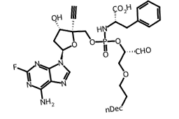 C#C[C@]1(COP(=O)(N[C@@H](Cc2ccccc2)C(=O)O)O[C@H](C=O)COCCCCCCCCCCCC)O[C@@H](n2cnc3c(N)nc(F)nc32)C[C@@H]1O